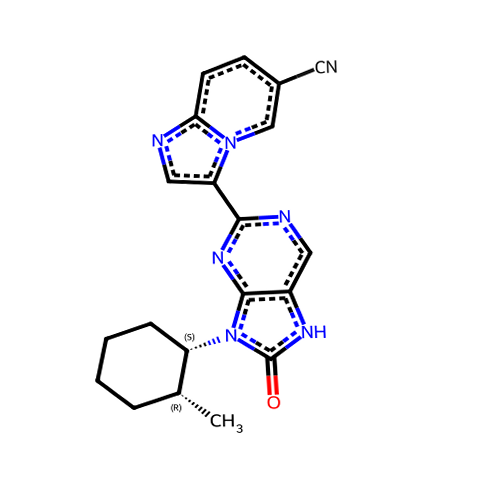 C[C@@H]1CCCC[C@@H]1n1c(=O)[nH]c2cnc(-c3cnc4ccc(C#N)cn34)nc21